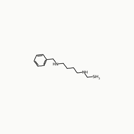 [SiH3]CNCCCCNCc1ccccc1